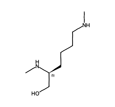 CNCCCC[C@@H](CO)NC